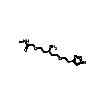 CNC(=O)COCCC(N)CCOCCc1c[nH]nn1